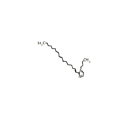 CCCCCCCCCCCCCCCC=CC1=NCCN1CCCC